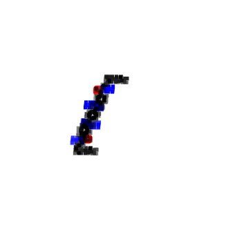 CC(=O)NCCNC(=O)c1ccc2nc(-c3ccc(-c4nc5ccc(C(=O)NCCNC(C)=O)cc5[nH]4)cc3)[nH]c2c1